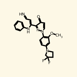 COc1cc(N2CCC(F)(F)C2)ccc1-n1ccc(=O)c(/C(=C/C=N)Nc2ccccc2)n1